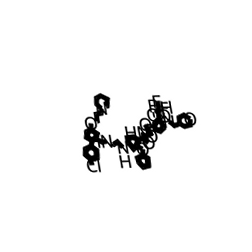 O=C(NS(=O)(=O)c1ccc(NCC2CCOCC2)c(S(=O)(=O)C(F)(F)F)c1)c1ccc(NCCNCc2cc(OCCCN3CCCCC3)ccc2-c2ccc(Cl)cc2)cc1Oc1ccccc1